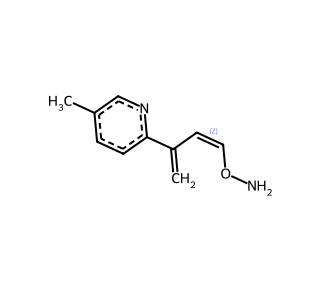 C=C(/C=C\ON)c1ccc(C)cn1